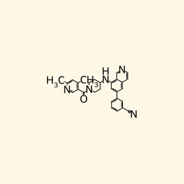 Cc1cc(C)c(C(=O)N2CCC(Nc3cc(-c4cccc(C#N)c4)cc4ccncc34)CC2)cn1